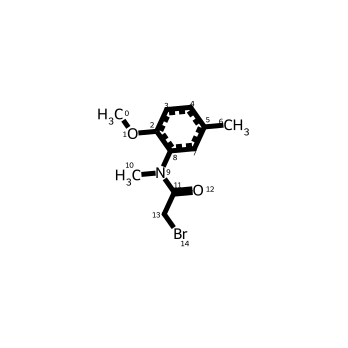 COc1ccc(C)cc1N(C)C(=O)CBr